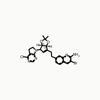 CC1(C)O[C@@H]2C(CCc3ccc4cc(Br)c(N)nc4c3)=CC(N3CCc4c(Cl)ncnc43)[C@@H]2O1